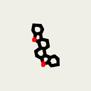 c1ccc2c(c1)oc1c2ccc2c1ccc1oc3ccccc3c12